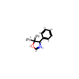 CC(C)C1(C(C)C)OC=NC1c1ccccc1